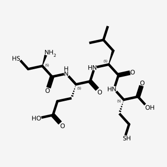 CC(C)C[C@H](NC(=O)[C@H](CCC(=O)O)NC(=O)[C@H](N)CS)C(=O)N[C@@H](CCS)C(=O)O